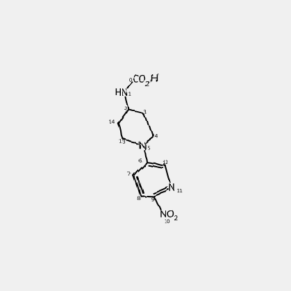 O=C(O)NC1CCN(c2ccc([N+](=O)[O-])nc2)CC1